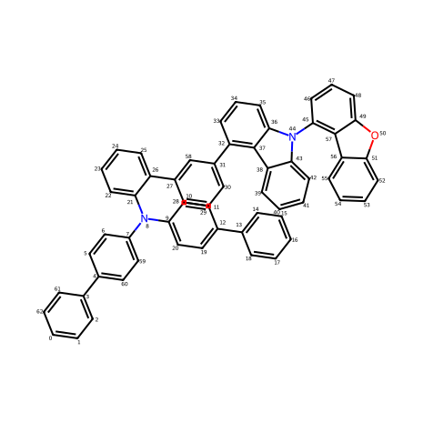 c1ccc(-c2ccc(N(c3ccc(-c4ccccc4)cc3)c3ccccc3-c3cccc(-c4cccc5c4c4ccccc4n5-c4cccc5oc6ccccc6c45)c3)cc2)cc1